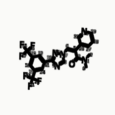 CN(C)C(=O)/C(=C\n1cnc(-c2cc(C(F)(F)F)cc(C(F)(F)F)c2)n1)c1cccnc1